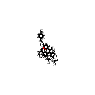 Cc1nc(C)c([C@H](OC(C)(C)C)C(=O)OC(C)C)c(-c2ccc3c4c(ccnc24)CCO3)c1-c1ccc(OCCc2ccc(F)cc2)cc1